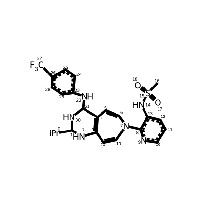 CC(C)C1NC2=C(C=CN(c3ncccc3NS(C)(=O)=O)C=C2)C(Nc2ccc(C(F)(F)F)cc2)N1